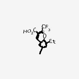 CCc1cc(C)cc2c1O[C@H](C(F)(F)F)C(C(=O)O)=C2